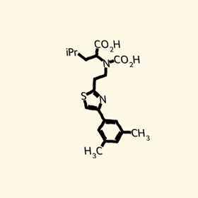 Cc1cc(C)cc(-c2csc(CCN(C(=O)O)C(CC(C)C)C(=O)O)n2)c1